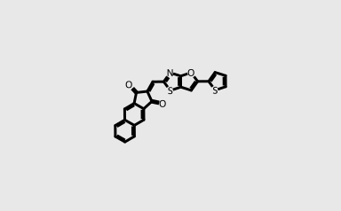 O=C1C(=Cc2nc3oc(-c4cccs4)cc3s2)C(=O)c2cc3ccccc3cc21